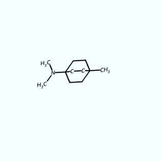 CN(C)C12CCC(C)(CC1)CC2